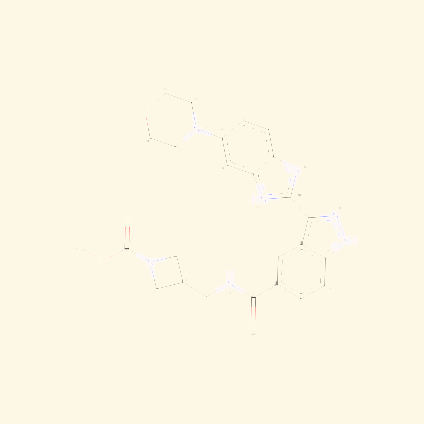 CC(C)(C)OC(=O)N1CC(CNC(=O)c2ccc3[nH]nc(-c4nc5ccc(N6CCOCC6)cc5[nH]4)c3c2)C1